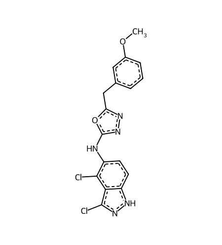 COc1cccc(Cc2nnc(Nc3ccc4[nH]nc(Cl)c4c3Cl)o2)c1